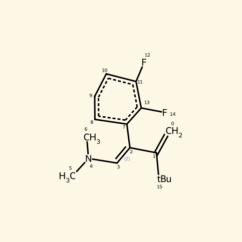 C=C(/C(=C/N(C)C)c1cccc(F)c1F)C(C)(C)C